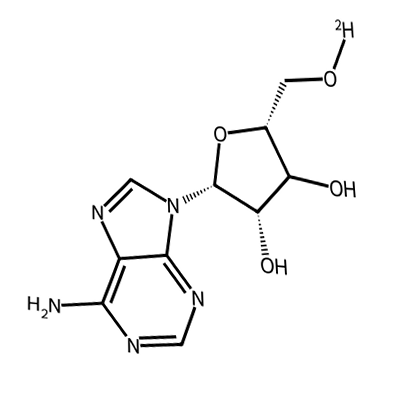 [2H]OC[C@H]1O[C@@H](n2cnc3c(N)ncnc32)[C@@H](O)C1O